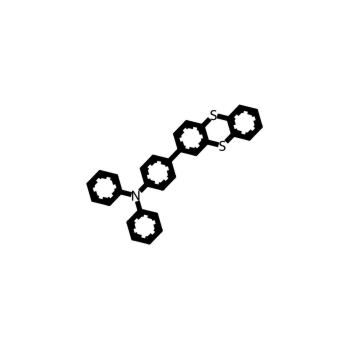 c1ccc(N(c2ccccc2)c2ccc(-c3ccc4c(c3)Sc3ccccc3S4)cc2)cc1